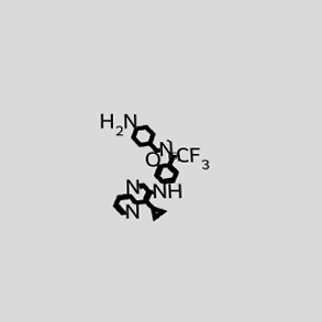 CN(C(=O)C1CCC(N)CC1)[C@@H](c1ccc(Nc2cnc3cccnc3c2C2CC2)cc1)C(F)(F)F